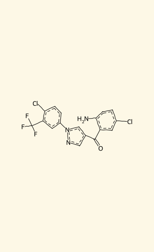 Nc1ccc(Cl)cc1C(=O)c1cnn(-c2ccc(Cl)c(C(F)(F)F)c2)c1